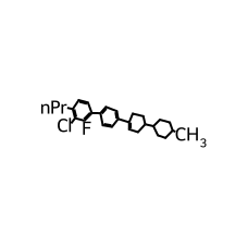 CCCc1ccc(-c2ccc(C3=CCC(C4CCC(C)CC4)CC3)cc2)c(F)c1Cl